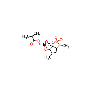 C=C(C)C(=O)OCC(=O)OC1C(C)CC2C(C)S(=O)(=O)OC21C